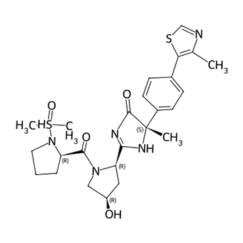 Cc1ncsc1-c1ccc([C@]2(C)NC([C@H]3C[C@@H](O)CN3C(=O)[C@H]3CCCN3[SH](C)(C)=O)=NC2=O)cc1